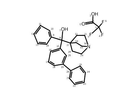 O=C(O)C(F)(F)F.OC(c1ccccc1)(c1cccc(-c2ccccc2)c1)C12CCN(CC1)CC2